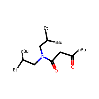 CCCCC(=O)CC(=O)N(CC(CC)CCCC)CC(CC)CCCC